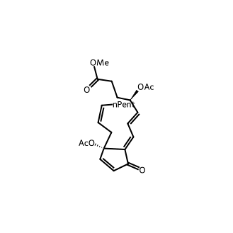 CCCCC/C=C\C[C@]1(OC(C)=O)C=CC(=O)/C1=C/C=C/[C@@H](CCC(=O)OC)OC(C)=O